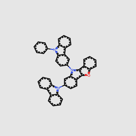 c1ccc(-n2c3ccccc3c3cc(-n4c5cc(-n6c7ccccc7c7ccccc76)ccc5c5oc6ccccc6c54)ccc32)cc1